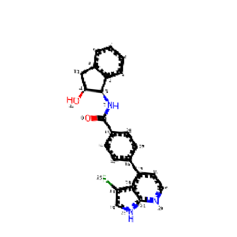 O=C(N[C@@H]1c2ccccc2C[C@@H]1O)c1ccc(-c2ccnc3[nH]cc(F)c23)cc1